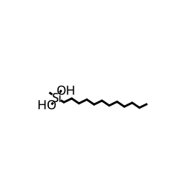 CCCCCCCCCCCC[Si](C)(O)O